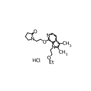 CCOCCn1c(C)c(C)c2ccnc(OCCN3CCCC3=O)c21.Cl